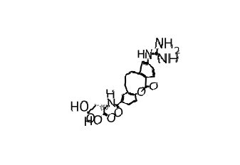 N=C(N)Nc1ccc2c(c1)CCCc1cc(C(=O)N[C@@H](CC(=O)O)C(=O)O)ccc1OC2=O